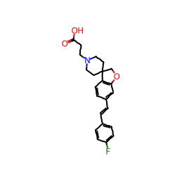 O=C(O)CCN1CCC2(CC1)COc1cc(/C=C/c3ccc(F)cc3)ccc12